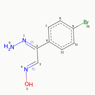 N/N=C(\C=N\O)c1ccc(Br)cc1